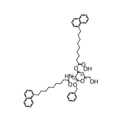 O=C(CCCCCCCCc1cccc2ccccc12)N[C@@H]1[C@@H](OCc2ccccc2)O[C@H](CO)[C@@H](O)[C@@H]1OC(=O)CCCCCCCCc1cccc2ccccc12